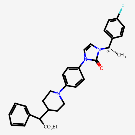 CCOC(=O)C(c1ccccc1)C1CCN(c2ccc(-n3ccn([C@@H](C)c4ccc(F)cc4)c3=O)cc2)CC1